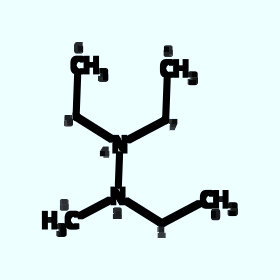 CCN(C)N(CC)CC